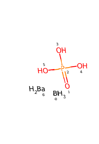 B.O=P(O)(O)O.[BaH2]